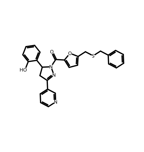 O=C(c1ccc(CSCc2ccccc2)o1)N1N=C(c2cccnc2)CC1c1ccccc1O